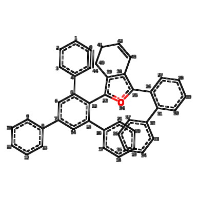 c1cccc(-c2cc(-c3ccccc3)cc(-c3ccccc3)c2-c2oc(-c3ccccc3-c3ccccc3)c3c2CCC=C3)c#1